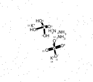 N.N.N.O=P(O)(O)O.O=S(=O)([O-])[O-].[K+].[K+]